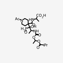 CC(=O)N1CCC(C(=O)NC(C)C(=O)O)(C(O)([PH2]=O)C(C)NC(=O)OC(C)OC(=O)C(C)C)CC1